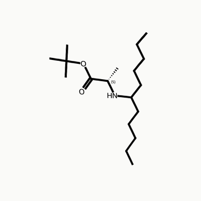 CCCCCC(CCCCC)N[C@@H](C)C(=O)OC(C)(C)C